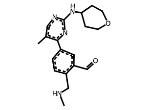 CNCc1ccc(-c2nc(NC3CCOCC3)ncc2C)cc1C=O